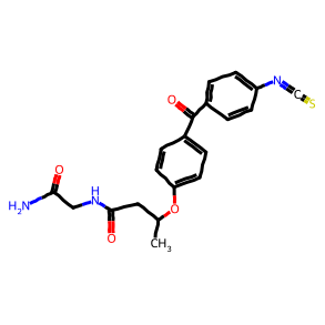 CC(CC(=O)NCC(N)=O)Oc1ccc(C(=O)c2ccc(N=C=S)cc2)cc1